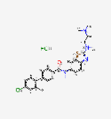 Cc1cc(Cl)ccc1-c1ccc(C(=O)Nc2ccc3nc(N(C)CCN(C)C)sc3c2)cc1.Cl